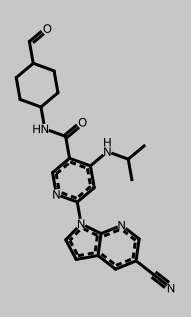 CC(C)Nc1cc(-n2ccc3cc(C#N)cnc32)ncc1C(=O)NC1CCC(C=O)CC1